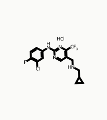 Cl.Fc1ccc(Nc2ncc(CNCC3CC3)c(C(F)(F)F)n2)cc1Cl